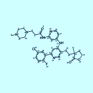 CN1CCN(CCC(=O)Nc2cc(Nc3cc(-c4cc(Cl)ccc4F)nnc3SCC3(C)CCOC3=O)ccn2)CC1